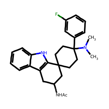 CC(=O)NC1Cc2c([nH]c3ccccc23)C2(CCC(c3cccc(F)c3)(N(C)C)CC2)C1